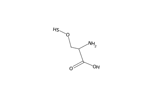 NC(COS)C(=O)O